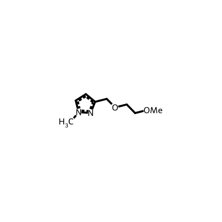 COCCOCc1ccn(C)n1